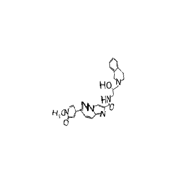 Cn1ccc(-c2ccc3nc(C(=O)NC[C@H](O)CN4CCc5ccccc5C4)cn3n2)cc1=O